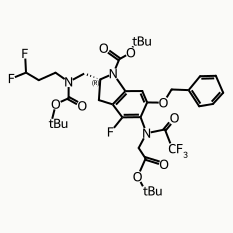 CC(C)(C)OC(=O)CN(C(=O)C(F)(F)F)c1c(OCc2ccccc2)cc2c(c1F)C[C@H](CN(CCC(F)F)C(=O)OC(C)(C)C)N2C(=O)OC(C)(C)C